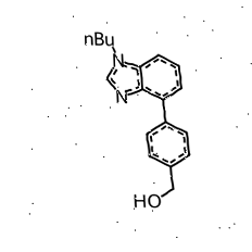 CCCCn1cnc2c(-c3ccc(CO)cc3)cccc21